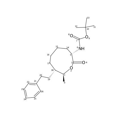 C[C@@H]1OC(=O)[C@@H](NC(=O)OC(C)(C)C)CCCC[C@H]1CCc1ccccc1